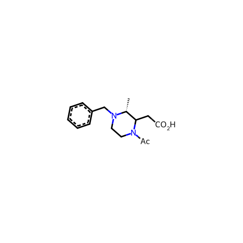 CC(=O)N1CCN(Cc2ccccc2)[C@H](C)C1CC(=O)O